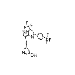 Oc1cncc(C#Cc2cnn3c(C(F)(F)F)cc(-c4ccc(C(F)(F)F)cc4)nc23)c1